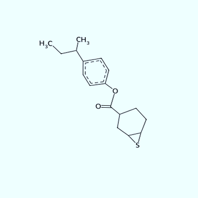 CCC(C)c1ccc(OC(=O)C2CCC3SC3C2)cc1